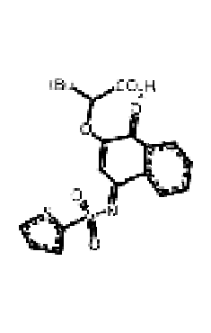 CC(C)(C)C(OC1=C/C(=N\S(=O)(=O)c2cccs2)c2ccccc2C1=O)C(=O)O